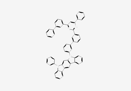 c1ccc(-c2cccc(-c3cc(-c4ccccc4)nc(-c4cccc(-c5cccc(-n6c7ccccc7c7cc8c9ccccc9n(-c9ccccc9)c8cc76)c5)c4)n3)c2)cc1